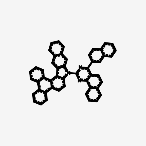 c1ccc2cc(-c3nc(-n4c5cc6ccccc6cc5c5c6c7ccccc7c7ccccc7c6ccc54)nc4c3ccc3ccccc34)ccc2c1